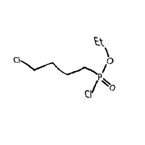 CCOP(=O)(Cl)CCCCCl